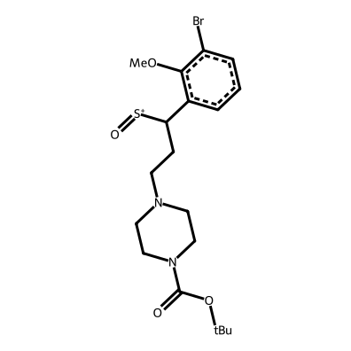 COc1c(Br)cccc1C(CCN1CCN(C(=O)OC(C)(C)C)CC1)[S+]=O